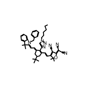 CCCCCCn1cc(C2=C(/C=C/C3=C(C#N)C(=C(C#N)C#N)OC3(C)C)CC(C(C)(C)C)C/C2=C\C=C2/N(Cc3ccccc3)c3ccccc3C2(C)C)nn1